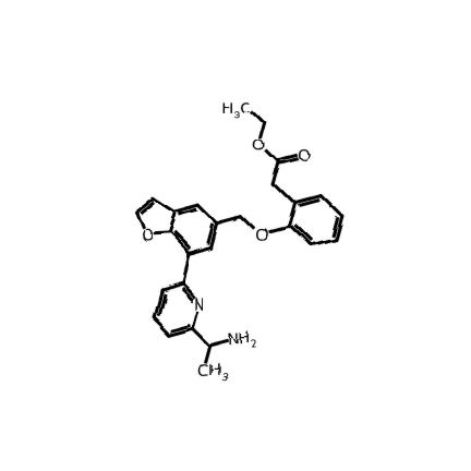 CCOC(=O)Cc1ccccc1OCc1cc(-c2cccc(C(C)N)n2)c2occc2c1